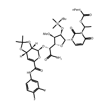 CCCCCC(=O)OC(C)n1c(=O)ccn([C@@H]2O[C@H]([C@@H](O[C@H]3OC(C(=O)Nc4ccc(F)c(F)c4)=C[C@@H]4OC(C)(C)O[C@H]34)C(N)=O)[C@@H](OC)[C@H]2O[Si](C)(C)C(C)(C)C)c1=O